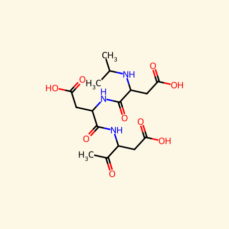 CC(=O)C(CC(=O)O)NC(=O)C(CC(=O)O)NC(=O)C(CC(=O)O)NC(C)C